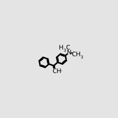 [CH]=C(c1ccccc1)c1ccc(N(C)C)cc1